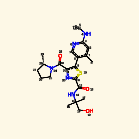 Cc1cc(NC(C)(C)C)ncc1-c1sc(C(=O)NC(C)(C)CO)nc1C(=O)N1CCC[C@@H]1C